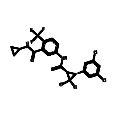 O=C(NC1CC1)c1cc(NC(=O)[C@H]2[C@H](c3cc(Cl)cc(Cl)c3)C2(Cl)Cl)ccc1C(F)(F)F